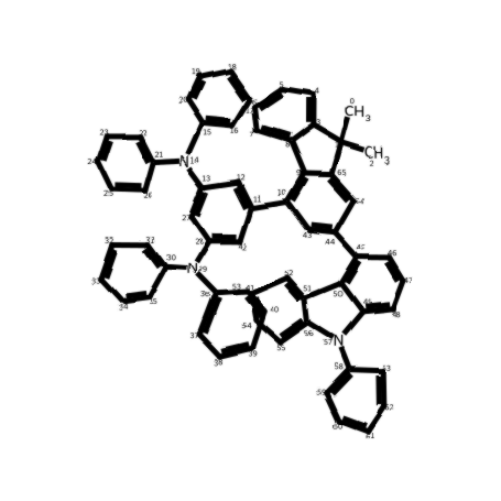 CC1(C)c2ccccc2-c2c(-c3cc(N(c4ccccc4)c4ccccc4)cc(N(c4ccccc4)c4ccccc4)c3)cc(-c3cccc4c3c3ccccc3n4-c3ccccc3)cc21